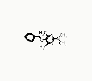 Cc1nc(N(C)C)nc(C)c1OCc1ccccc1